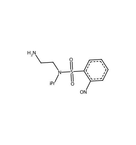 CC(C)N(CCN)S(=O)(=O)c1ccccc1N=O